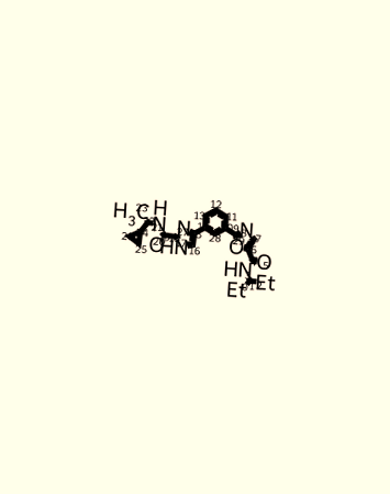 CCC(CC)NC(=O)c1cnc(-c2cccc(-c3c[nH]c(C(=O)NC(C)C4CC4)n3)c2)o1